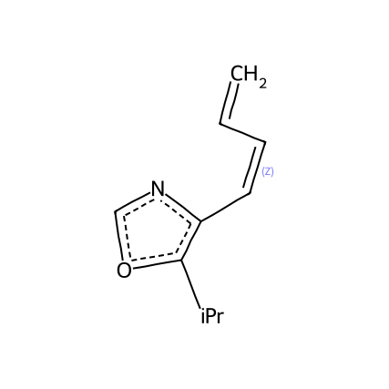 C=C/C=C\c1ncoc1C(C)C